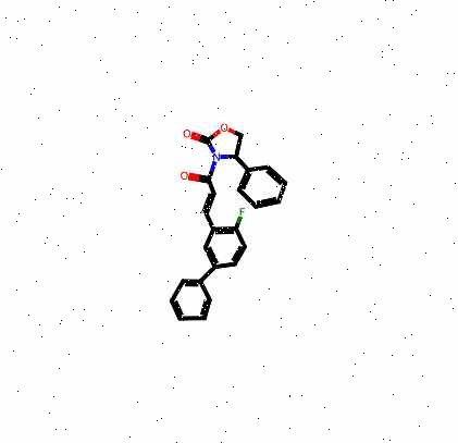 O=C(C=Cc1cc(-c2ccccc2)ccc1F)N1C(=O)OCC1c1ccccc1